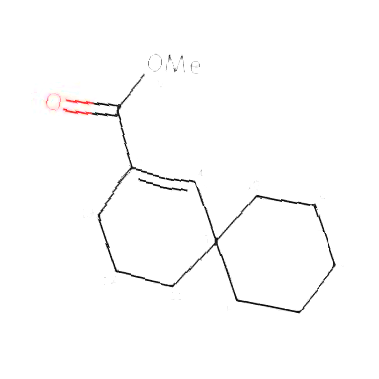 COC(=O)C1=CC2(CCCCC2)CCC1